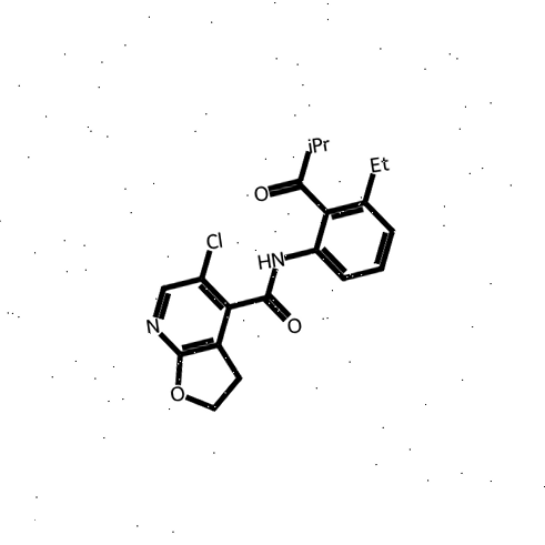 CCc1cccc(NC(=O)c2c(Cl)cnc3c2CCO3)c1C(=O)C(C)C